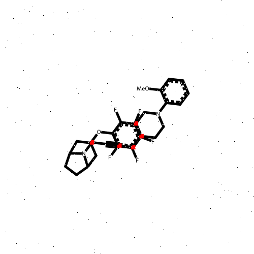 COc1ccccc1N1CCN(CC#CCN2C3CCC2CC(Oc2c(F)c(F)c(F)c(F)c2F)C3)CC1